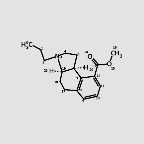 CCCN1CC[C@H]2c3c(cccc3C(=O)OC)CC[C@H]21